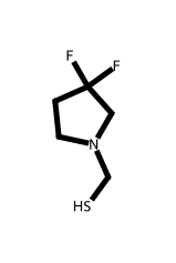 FC1(F)CCN(CS)C1